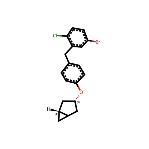 Clc1ccc(Br)cc1Cc1ccc(O[C@@H]2CC3C[C@@H]3C2)cc1